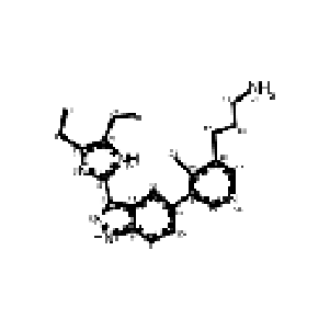 CCc1nc(-c2n[nH]c3ccc(-c4cncc(CCCN)c4C)cc23)[nH]c1CC